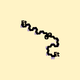 CC/C=C\C/C=C\C/C=C\C/C=C\C/C=C\C/C=C\CCCOC(=O)CC/C=C\C/C=C\C/C=C\C/C=C\C/C=C\C/C=C\CC